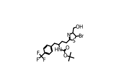 CC(C)(C)OC(=O)NC(CCC1=NC(CO)C(Br)S1)Cc1ccc(C(F)(F)F)cc1